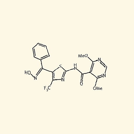 COc1ncnc(OC)c1C(=O)Nc1nc(C(F)(F)F)c(C(=NO)c2ccccc2)s1